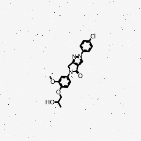 COc1cc(N2Cc3nn(-c4ccc(Cl)cc4)cc3C2=O)ccc1OCC(C)O